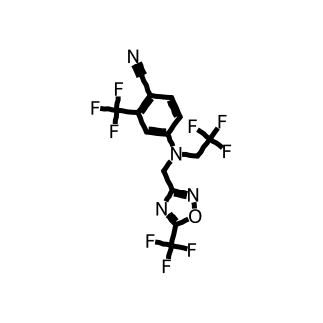 N#Cc1ccc(N(Cc2noc(C(F)(F)F)n2)CC(F)(F)F)cc1C(F)(F)F